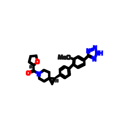 COc1cc(-c2nn[nH]n2)ccc1-c1ccc([C@H]2CC23CCN(C(=O)[C@H]2CCCO2)CC3)cc1